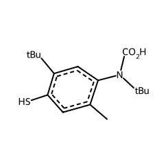 Cc1cc(S)c(C(C)(C)C)cc1N(C(=O)O)C(C)(C)C